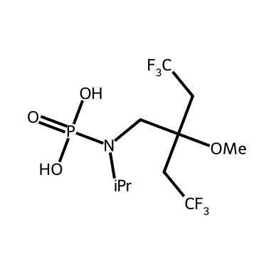 COC(CN(C(C)C)P(=O)(O)O)(CC(F)(F)F)CC(F)(F)F